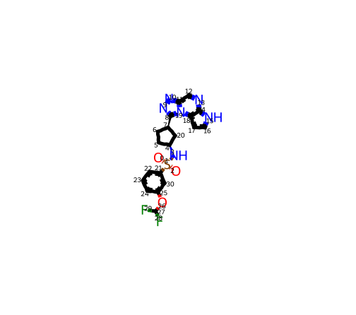 O=S(=O)(N[C@H]1CC[C@@H](c2nnc3cnc4[nH]ccc4n23)C1)c1cccc(OC(F)F)c1